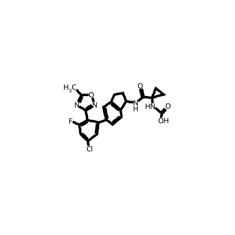 Cc1nc(-c2c(F)cc(Cl)cc2-c2ccc3c(c2)CCC3NC(=O)C2(NC(=O)O)CC2)no1